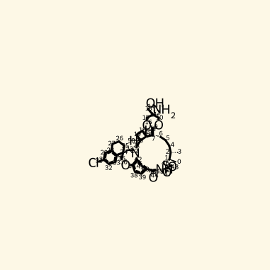 C[C@@H]1[C@@H](C)CCC[C@@H]([C@H]2OC[C@](N)(CO)CO2)[C@@H]2CC[C@H]2CN2C[C@@]3(CCCc4cc(Cl)ccc43)COc3ccc(cc32)C(=O)NS1(=O)=O